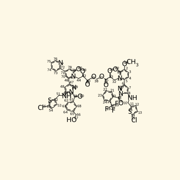 COc1ccc(-c2cc(NCc3ccc(Cl)s3)n(C(=O)c3ccccc3C(F)(F)F)n2)n(CC(=O)C(=O)OCOC(=O)C(=O)Cn2c(-c3cc(NCc4ccc(Cl)s4)n(C(=O)c4cccc(CO)c4)n3)cc(-c3ccccn3)cc2=O)c1=O